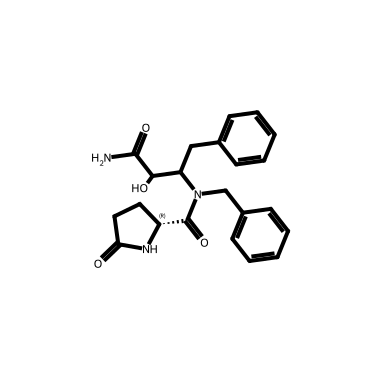 NC(=O)C(O)C(Cc1ccccc1)N(Cc1ccccc1)C(=O)[C@H]1CCC(=O)N1